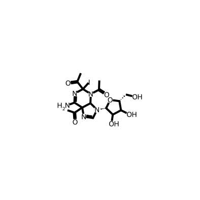 CC(=O)N1C2N([C@@H]3O[C@H](CO)C(O)C3O)C=NC2(C(C)=O)C(N)=NC1(I)C(C)=O